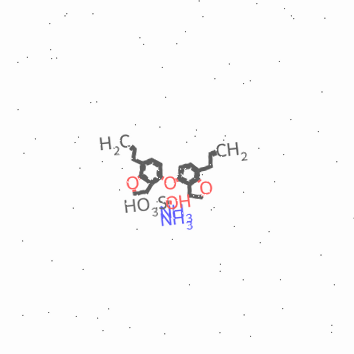 C=CCc1ccc(Oc2ccc(CC=C)c3c2CCO3)c2c1OCC2.N.N.O=S(=O)(O)O